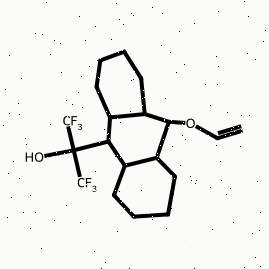 C=COC1C2CCCCC2C(C(O)(C(F)(F)F)C(F)(F)F)C2CCCCC21